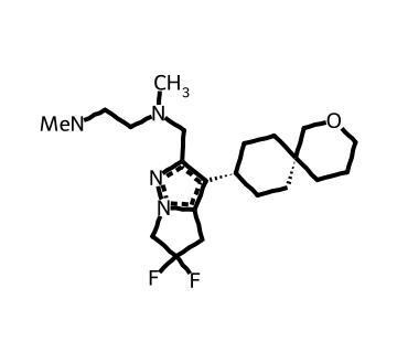 CNCCN(C)Cc1nn2c(c1[C@H]1CC[C@]3(CCCOC3)CC1)CC(F)(F)C2